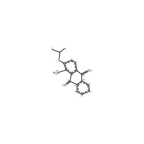 CC(C)Sc1ccc2c(c1N)C(=O)c1ccccc1C2=O